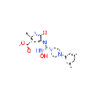 CCc1nc(OC)c(N=C(NO)N2CCN(c3cc(C)cc(C)c3)CC2)cc1C(=O)OC